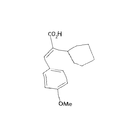 COc1ccc(C=C(C(=O)O)C2CCCCC2)cc1